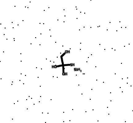 OCC(O)(O)S.[SbH3]